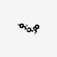 O=CC1c2ccccc2CN1CC1CCN(CC(=O)c2ccc(F)cc2)CC1